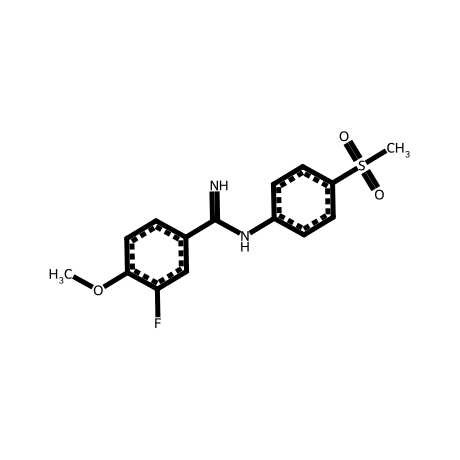 COc1ccc(C(=N)Nc2ccc(S(C)(=O)=O)cc2)cc1F